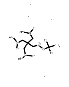 CCCN(CC)CC(C[SiH2]OC(C)(CC)CC)(CN(CC)CCC)CN(CC)CCC